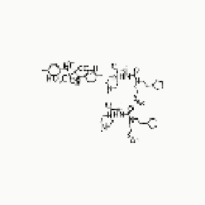 CC(=O)SCCN(CCC1CCCC1)C(=O)N[C@@H](C)C(=O)N1CCN(C)CC1.CC(=O)SCCN(CCC1CCCC1)C(=O)N[C@@H](C)C(=O)N1CCN(C)CC1.Cc1ccc(C(=O)C(O)(C(=O)O)C(O)(C(=O)O)C(=O)c2ccc(C)cc2)cc1